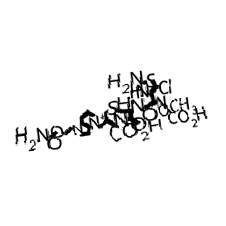 C[C@H](O/N=C(\C(=O)N[C@@H]1C(=O)N2C(C(=O)O)=C(C[n+]3cccc4c3ccn4CCOC(N)=O)CS[C@H]12)c1nc(N)sc1Cl)C(=O)O